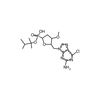 COC1CC(P(=O)(O)OC(C)(C)C(C)C)OC1Cn1cnc2c(Cl)nc(N)nc21